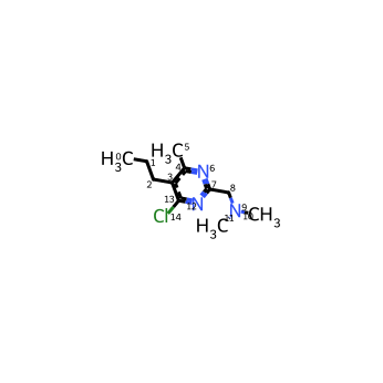 CCCc1c(C)nc(CN(C)C)nc1Cl